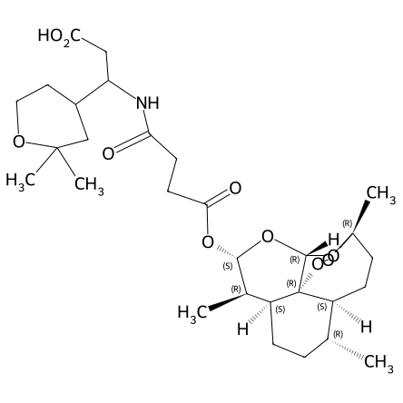 C[C@H]1[C@H](OC(=O)CCC(=O)NC(CC(=O)O)C2CCOC(C)(C)C2)O[C@@H]2O[C@@]3(C)CC[C@H]4[C@H](C)CC[C@@H]1[C@@]24OO3